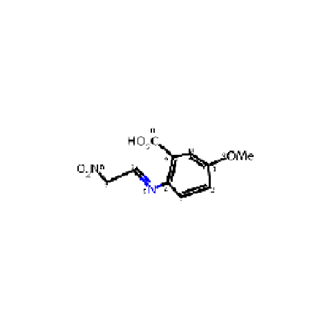 COc1ccc(N=CC[N+](=O)[O-])c(C(=O)O)c1